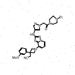 CCN1CCN(C(=O)Cn2cc(Nc3nc4c(N5CC(CC#N)(c6cccc(SC)c6)C5)cccn4n3)cn2)CC1